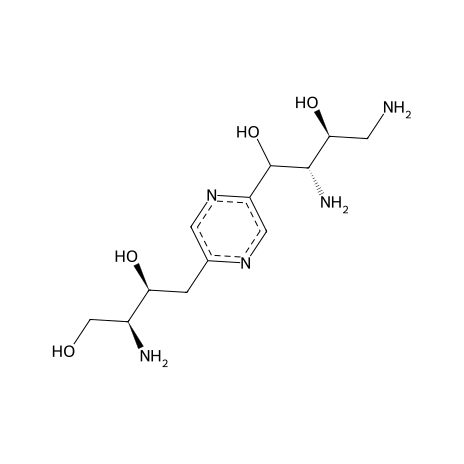 NC[C@H](O)[C@H](N)C(O)c1cnc(C[C@H](O)[C@@H](N)CO)cn1